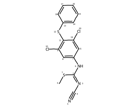 CS/C(=N\C#N)Nc1cc(Cl)c(Sc2ccccc2)c(Cl)c1